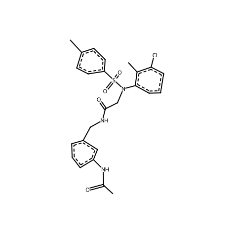 CC(=O)Nc1cccc(CNC(=O)CN(c2cccc(Cl)c2C)S(=O)(=O)c2ccc(C)cc2)c1